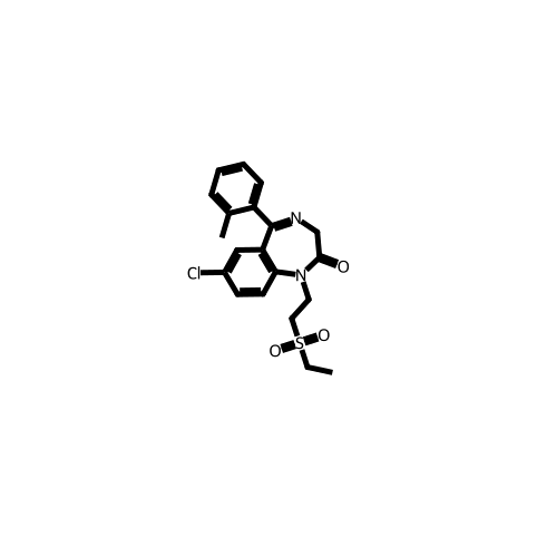 CCS(=O)(=O)CCN1C(=O)CN=C(c2ccccc2C)c2cc(Cl)ccc21